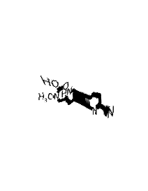 CN(Cc1cc2nc(C#N)ccc2[nH]1)C(=O)O